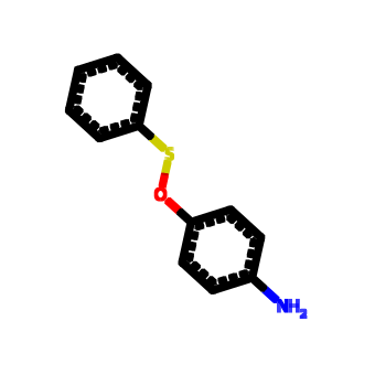 Nc1ccc(OSc2ccccc2)cc1